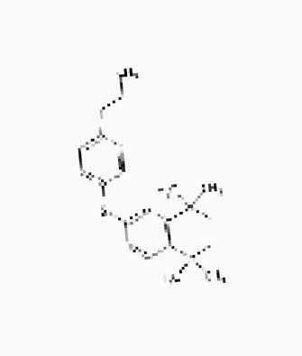 CCCc1ccc(Sc2ccc3c(c2)C(C)(C)CCC3(C)C)cc1